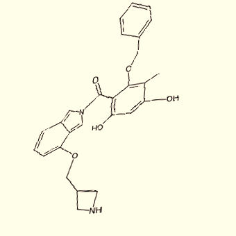 Cc1c(O)cc(O)c(C(=O)n2cc3cccc(OCC4CNC4)c3c2)c1OCc1ccccc1